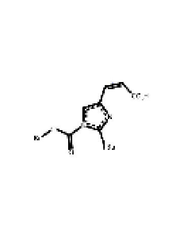 CCCCc1nc(/C=C\C(=O)O)cn1C(=O)OC(C)(C)C